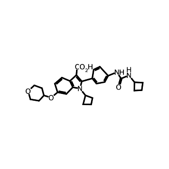 O=C(Nc1ccc(-c2c(C(=O)O)c3ccc(OC4CCOCC4)cc3n2C2CCC2)cc1)NC1CCC1